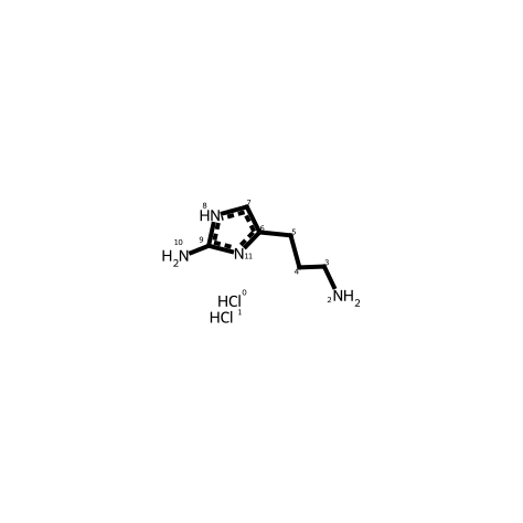 Cl.Cl.NCCCc1c[nH]c(N)n1